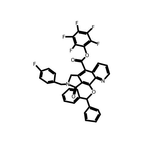 O=C(Oc1c(F)c(F)c(F)c(F)c1F)c1c2c(c(OC(c3ccccc3)c3ccccc3)c3ncccc13)C(=O)N(Cc1ccc(F)cc1)C2